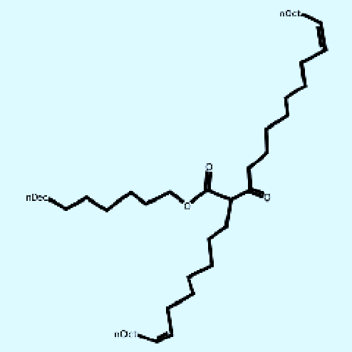 CCCCCCCC/C=C\CCCCCCCC(=O)C(CCCCCC/C=C\CCCCCCCC)C(=O)OCCCCCCCCCCCCCCCC